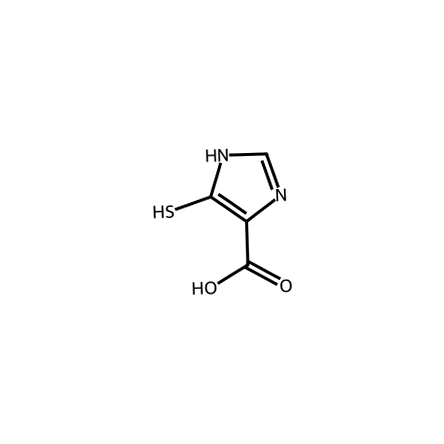 O=C(O)c1nc[nH]c1S